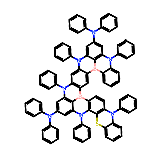 c1ccc(N(c2ccccc2)c2cc3c4c(c2)N(c2ccccc2)c2cc5c(cc2B4c2ccccc2N3c2ccccc2)B2c3ccc4c(c3N(c3ccccc3)c3cc(N(c6ccccc6)c6ccccc6)cc(c32)N5c2ccccc2)Sc2ccccc2N4c2ccccc2)cc1